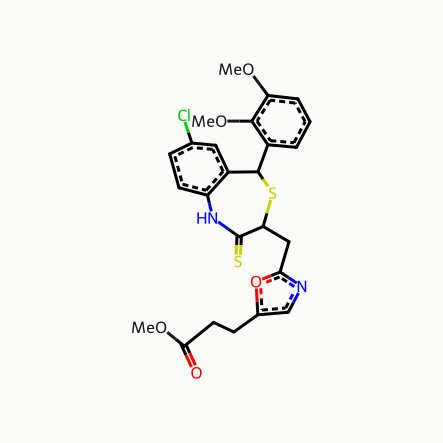 COC(=O)CCc1cnc(CC2SC(c3cccc(OC)c3OC)c3cc(Cl)ccc3NC2=S)o1